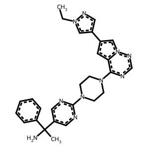 CCn1cc(-c2cc3c(N4CCN(c5ncc(C(C)(N)c6ccccc6)cn5)CC4)ncnn3c2)cn1